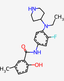 CCN(c1ccc(NC(=O)c2cc(C)ccc2O)cc1F)C1CCNCC1